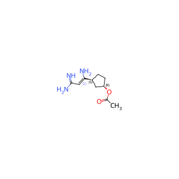 CC(=O)O[C@@H]1CC[C@H](/C(N)=C/C(=N)N)C1